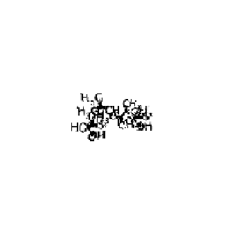 CC(C)C.CCC(C)C.OP(O)(O)=S.OP(O)(O)=S